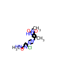 CCn1c(=O)[nH]c2cc(CN3CCN(c4ccc(C(=O)NC)nc4Cl)CC3)c(C)cc2c1=O